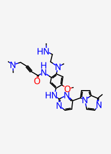 CNCCN(C)c1cc(OC)c(Nc2nccc(-c3ccc4c(C)nccn34)n2)cc1NC(=O)C#CCN(C)C